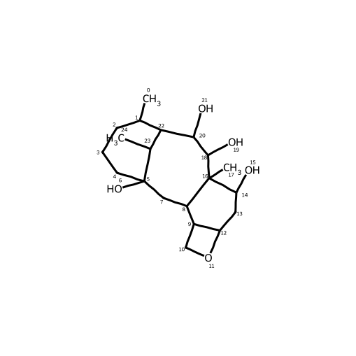 CC1CCCC2(O)CC3C4COC4CC(O)C3(C)C(O)C(O)C1C2C